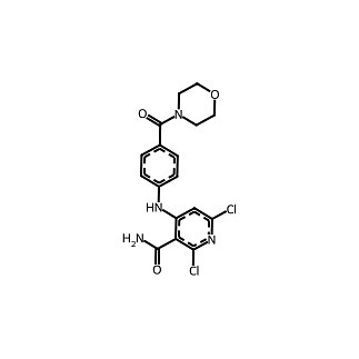 NC(=O)c1c(Nc2ccc(C(=O)N3CCOCC3)cc2)cc(Cl)nc1Cl